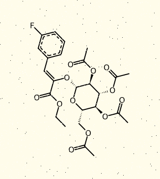 CCOC(=O)/C(=C/c1cccc(F)c1)O[C@H]1O[C@@H](COC(C)=O)[C@H](OC(C)=O)[C@@H](OC(C)=O)[C@@H]1OC(C)=O